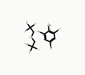 FC(F)(F)COCC(F)(F)F.Oc1c(F)cc(Br)cc1F